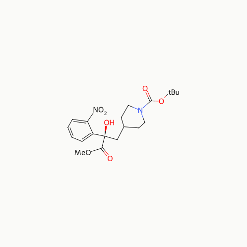 COC(=O)[C@@](O)(CC1CCN(C(=O)OC(C)(C)C)CC1)c1ccccc1[N+](=O)[O-]